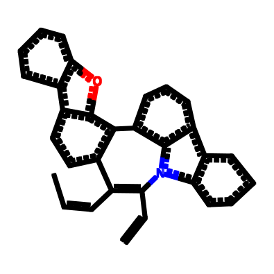 C=CC1=C(/C=C\C)c2ccc3c(oc4ccccc43)c2-c2cccc3c4ccccc4n1c23